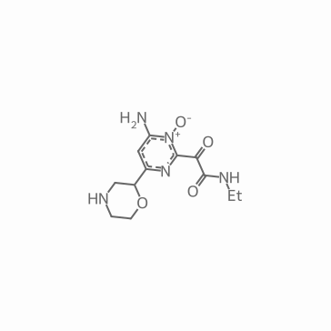 CCNC(=O)C(=O)c1nc(C2CNCCO2)cc(N)[n+]1[O-]